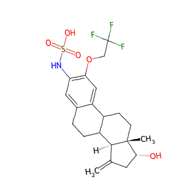 C=C1C[C@@H](O)[C@@]2(C)CCC3c4cc(OCC(F)(F)F)c(NS(=O)(=O)O)cc4CCC3[C@H]12